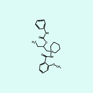 CCC(C[N+]1(NC(=O)c2ccccc2OC)CCCCC1)OC(=O)Nc1ccccc1